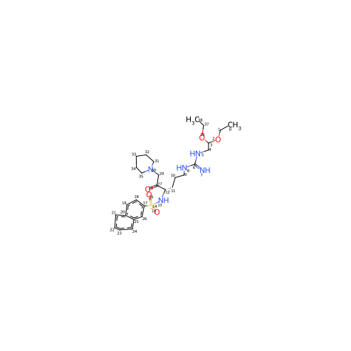 CCOC(CNC(=N)NCCC[C@H](NS(=O)(=O)c1ccc2ccccc2c1)C(=O)CN1CCCCC1)OCC